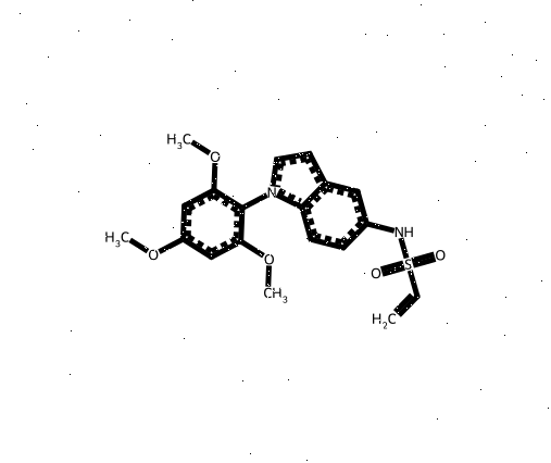 C=CS(=O)(=O)Nc1ccc2c(ccn2-c2c(OC)cc(OC)cc2OC)c1